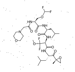 COC(F)(F)[C@@H](NC(=O)[C@H](CC(C)C)NC(=O)[C@H](COC(F)F)NC(=O)CN1CCOCC1)C(=O)N[C@@H](CC(C)C)C(=O)[C@@]1(C)CO1